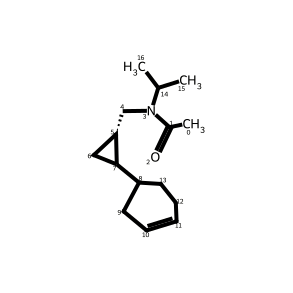 CC(=O)N(C[C@H]1CC1C1CC=CCC1)C(C)C